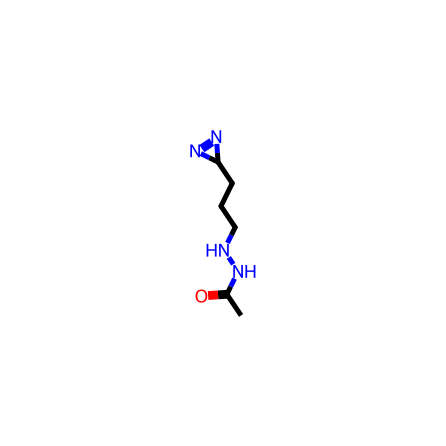 CC(=O)NNCCCC1N=N1